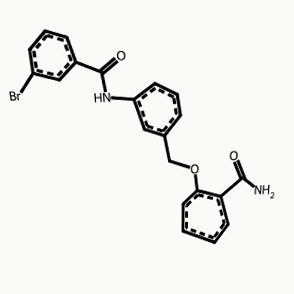 NC(=O)c1ccccc1OCc1cccc(NC(=O)c2cccc(Br)c2)c1